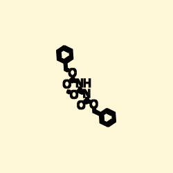 COC(=NC(=O)OCc1ccccc1)NC(=O)OCc1ccccc1